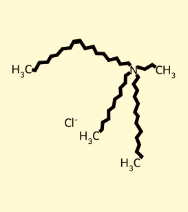 CCCCCCCC/C=C\CCCCCCCC[N+](CCCC)(CCCCCCCCCCC)CCCCCCCCCCCCCC.[Cl-]